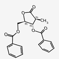 C[C@@H]1C(=O)O[C@H](COC(=O)c2ccccc2)[C@H]1OC(=O)c1ccccc1